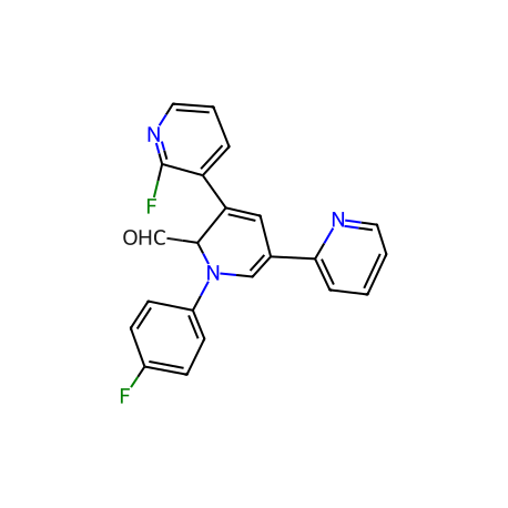 O=CC1C(c2cccnc2F)=CC(c2ccccn2)=CN1c1ccc(F)cc1